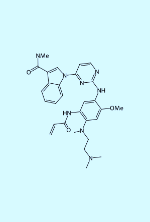 C=CC(=O)Nc1cc(Nc2nccc(-n3cc(C(=O)NC)c4ccccc43)n2)c(OC)cc1N(C)CCN(C)C